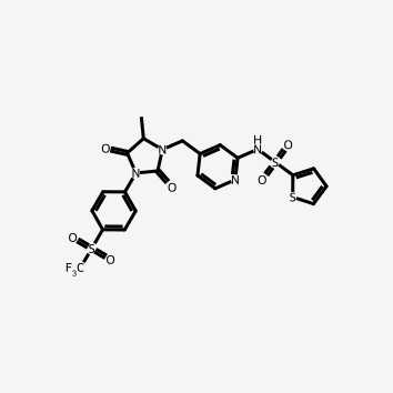 CC1C(=O)N(c2ccc(S(=O)(=O)C(F)(F)F)cc2)C(=O)N1Cc1ccnc(NS(=O)(=O)c2cccs2)c1